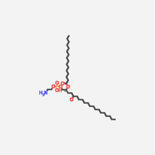 CCCCCCCCCCCCCCCC(=O)CC[C@@H](COP(=O)(O)OCCN)OC(=O)CCCCCCCCCCCCCCC